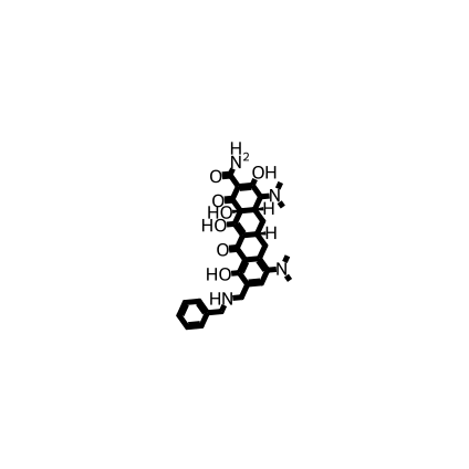 CN(C)c1cc(CNCc2ccccc2)c(O)c2c1C[C@H]1C[C@H]3C(N(C)C)C(O)=C(C(N)=O)C(=O)[C@@]3(O)C(O)=C1C2=O